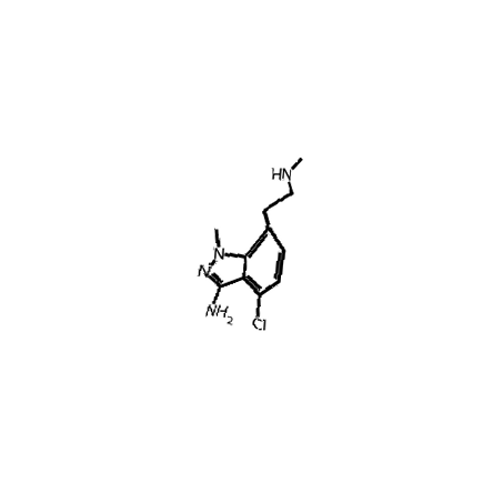 CNCCc1ccc(Cl)c2c(N)nn(C)c12